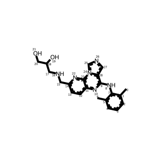 Cc1cccc(C)c1Nc1nc2ccc(CNCC(O)CO)nc2n2cncc12